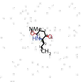 C=C/C=C1\NC(ONC)CCC1=O